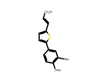 CCOC(=O)/C=C/c1ccc(-c2ccc(OC)c(C(C)(C)C)c2)s1